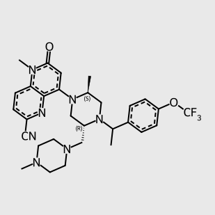 CC(c1ccc(OC(F)(F)F)cc1)N1C[C@H](C)N(c2cc(=O)n(C)c3ccc(C#N)nc23)C[C@H]1CN1CCN(C)CC1